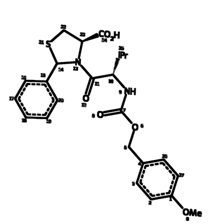 COc1ccc(COC(=O)N[C@H](C(=O)N2C(c3ccccc3)SC[C@H]2C(=O)O)C(C)C)cc1